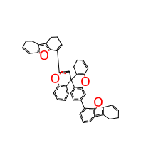 C1=CC2=C(CC1)C1(C3=C(CC(C4=CCCc5c4oc4c5CCC=C4)C=C3)Oc3ccccc31)c1ccc(-c3cccc4c5c(oc34)C=CCC5)cc1O2